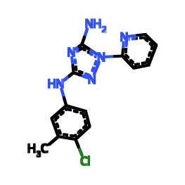 Cc1cc(Nc2nc(N)n(-c3ccccn3)n2)ccc1Cl